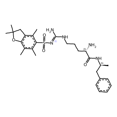 Cc1c(C)c(S(=O)(=O)/N=C(\N)NCCC[C@H](N)C(=O)N[C@@H](C)Cc2ccccc2)c(C)c2c1OC(C)(C)C2